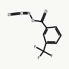 O=C=NOC(=O)c1cccc(C(F)(F)F)c1